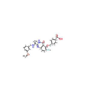 C=C(NCc1cccc(OC)c1)c1nc2ccc(F)c(OCc3ccc(C(=O)O)cc3)c2c(=O)[nH]1